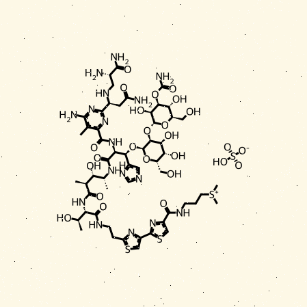 Cc1c(N)nc([C@H](CC(N)=O)NC[C@H](N)C(N)=O)nc1C(=O)N[C@H](C(=O)N[C@H](C)[C@@H](O)[C@H](C)C(=O)N[C@H](C(=O)NCCc1nc(-c2nc(C(=O)NCCC[S+](C)C)cs2)cs1)[C@@H](C)O)[C@@H](O[C@@H]1O[C@@H](CO)[C@@H](O)[C@H](O)[C@@H]1O[C@H]1O[C@H](CO)[C@@H](O)[C@H](OC(N)=O)[C@@H]1O)c1cnc[nH]1.O=S(=O)([O-])O